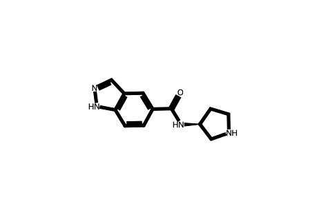 O=C(N[C@H]1CCNC1)c1ccc2[nH]ncc2c1